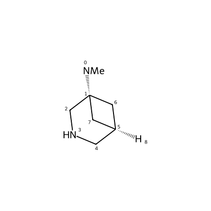 CN[C@]12CNC[C@H](C1)C2